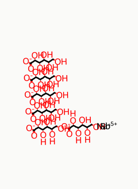 O=C([O-])[C@H](O)[C@@H](O)[C@H](O)[C@H](O)CO.O=C([O-])[C@H](O)[C@@H](O)[C@H](O)[C@H](O)CO.O=C([O-])[C@H](O)[C@@H](O)[C@H](O)[C@H](O)CO.O=C([O-])[C@H](O)[C@@H](O)[C@H](O)[C@H](O)CO.O=C([O-])[C@H](O)[C@@H](O)[C@H](O)[C@H](O)CO.O=C([O-])[C@H](O)[C@@H](O)[C@H](O)[C@H](O)CO.[Na+].[Sb+5]